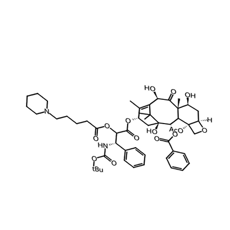 CC(=O)O[C@@]12CO[C@@H]1C[C@H](O)[C@@]1(C)C(=O)[C@H](O)C3=C(C)[C@@H](OC(=O)C(OC(=O)CCCCN4CCCCC4)[C@@H](NC(=O)OC(C)(C)C)c4ccccc4)C[C@@](O)([C@@H](OC(=O)c4ccccc4)C12)C3(C)C